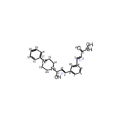 O=C(/C=C/c1cccc(/C=C/C(O)N2CCN(c3ccccc3)CC2)c1)NO